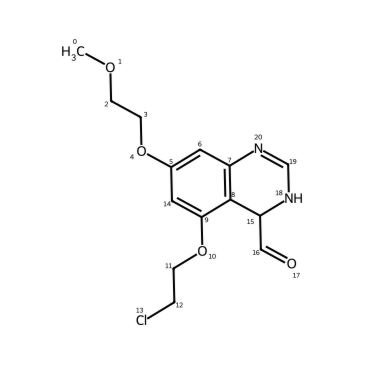 COCCOc1cc2c(c(OCCCl)c1)C(C=O)NC=N2